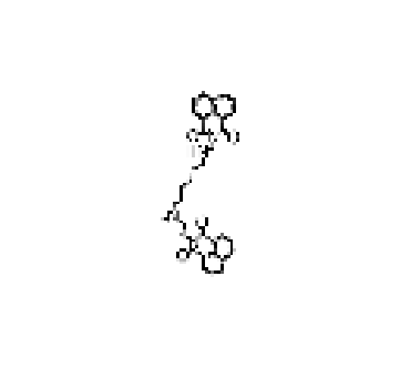 CN(CCCCCCNCN1C(=O)c2cccc3cccc(c23)C1=O)CCN1C(=O)c2cccc3cccc(c23)C1=O